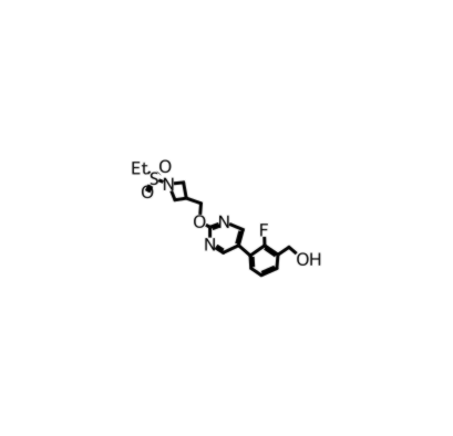 CCS(=O)(=O)N1CC(COc2ncc(-c3cccc(CO)c3F)cn2)C1